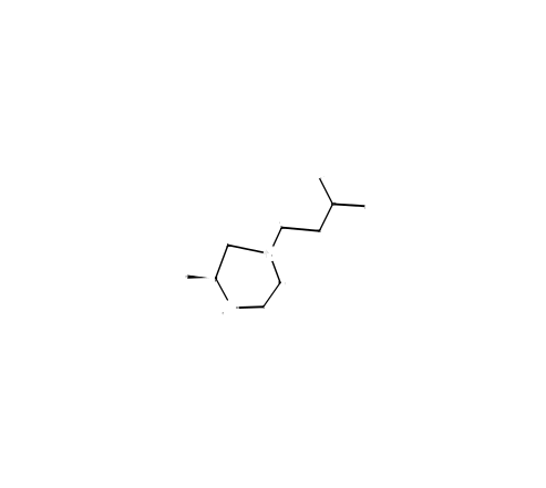 CC(C)CCN1CCO[C@@H](C)C1